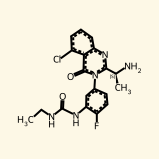 CCNC(=O)Nc1cc(-n2c([C@H](C)N)nc3cccc(Cl)c3c2=O)ccc1F